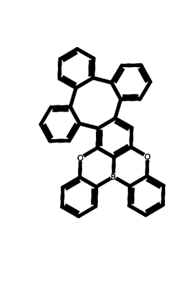 c1ccc2c(c1)Oc1cc3c(c4c1B2c1ccccc1O4)-c1ccccc1-c1ccccc1-c1ccccc1-3